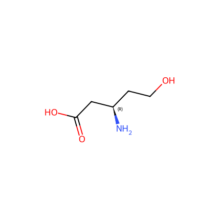 N[C@H](CCO)CC(=O)O